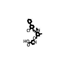 Cc1cc(COc2cc(C(=O)O)ccn2)cc2c1nc(C)n2Cc1ccc(-c2ccccc2)cc1Cl